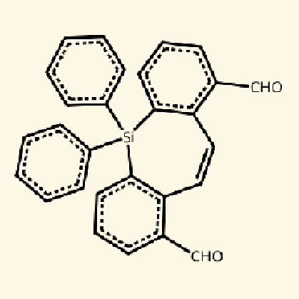 O=Cc1cccc2c1C=Cc1c(C=O)cccc1[Si]2(c1ccccc1)c1ccccc1